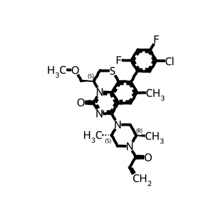 C=CC(=O)N1C[C@H](C)N(c2nc(=O)n3c4c(c(-c5cc(Cl)c(F)cc5F)c(C)cc24)SC[C@@H]3COC)C[C@H]1C